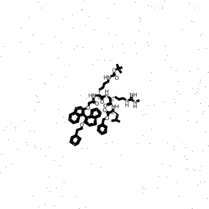 CNC(=N)NCCC[C@@H](NC(=O)[C@@H](CCCCNC(=O)OC(C)(C)C)NC(=O)COc1ccc2ccccc2c1-c1c(OCCc2ccccc2)ccc2ccccc12)C(=O)N[C@@H](CC(C)C)C(=O)OCc1ccccc1